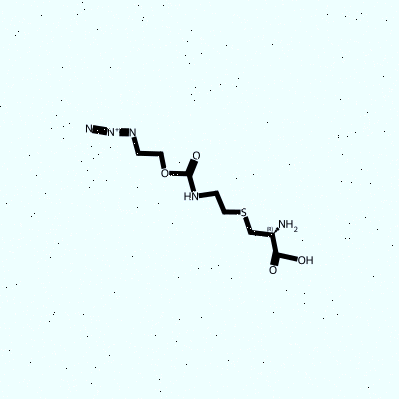 [N-]=[N+]=NCCOC(=O)NCCSC[C@H](N)C(=O)O